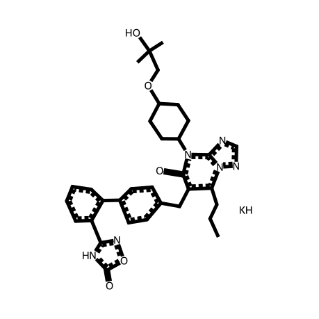 CCCc1c(Cc2ccc(-c3ccccc3-c3noc(=O)[nH]3)cc2)c(=O)n(C2CCC(OCC(C)(C)O)CC2)c2ncnn12.[KH]